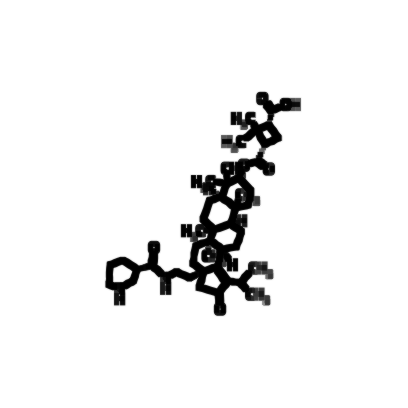 CC(C)C1=C2[C@H]3CC[C@@H]4[C@@]5(C)CC[C@H](OC(=O)[C@H]6C[C@@H](C(=O)O)C6(C)C)C(C)(C)[C@@H]5CC[C@@]4(C)[C@]3(C)CC[C@@]2(CCNC(=O)[C@@H]2CCCNC2)CC1=O